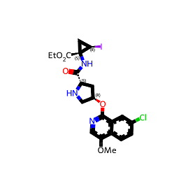 CCOC(=O)[C@@]1(NC(=O)[C@@H]2C[C@@H](Oc3ncc(OC)c4ccc(Cl)cc34)CN2)C[C@H]1I